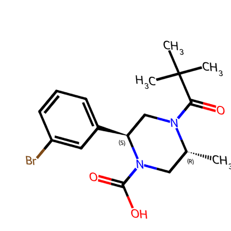 C[C@@H]1CN(C(=O)O)[C@@H](c2cccc(Br)c2)CN1C(=O)C(C)(C)C